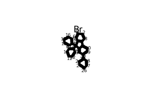 Brc1ccc2c(c1)C(c1ccccc1)(c1ccccc1)c1cc(-c3ccccc3)ccc1-2